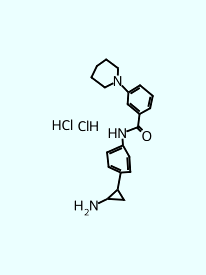 Cl.Cl.NC1CC1c1ccc(NC(=O)c2cccc(N3CCCCC3)c2)cc1